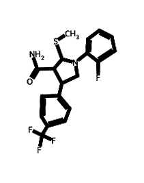 CSC1C(C(N)=O)C(c2ccc(C(F)(F)F)cc2)CN1c1ccccc1F